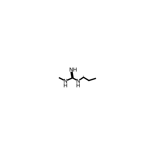 CC[CH]NC(=N)NC